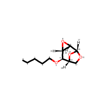 CCCCCO[C@H]1[C@@H]2O[C@H]2[C@@H]2OC[C@H]1O2